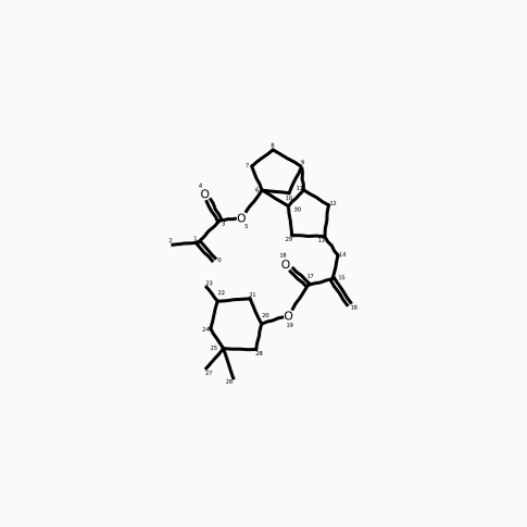 C=C(C)C(=O)OC12CCC(C1)C1CC(CC(=C)C(=O)OC3CC(C)CC(C)(C)C3)CC12